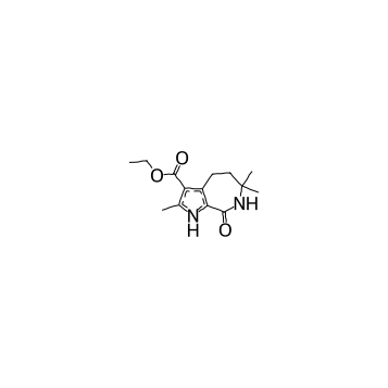 CCOC(=O)c1c(C)[nH]c2c1CCC(C)(C)NC2=O